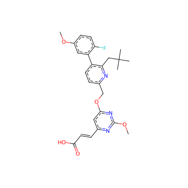 COc1ccc(F)c(-c2ccc(COc3cc(C=CC(=O)O)nc(OC)n3)nc2CC(C)(C)C)c1